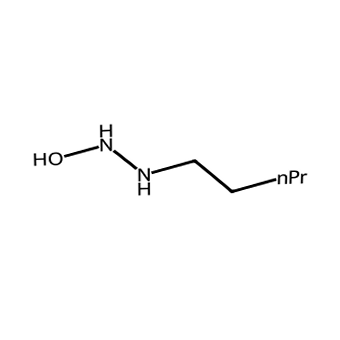 CCCCCNNO